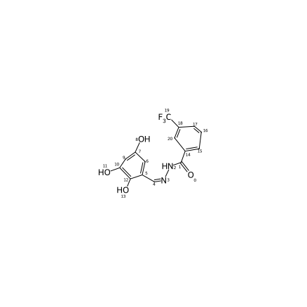 O=C(N/N=C\c1cc(O)cc(O)c1O)c1cccc(C(F)(F)F)c1